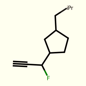 C#CC(F)C1CCC(CC(C)C)C1